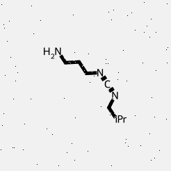 CC(C)CN=C=NCCCN